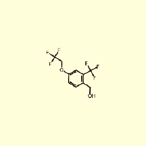 OCc1ccc(OCC(F)(F)F)cc1C(F)(F)F